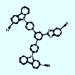 N#Cc1ccc2nc(-c3cc(-c4ccc(-n5c6ccccc6c6ccc(C#N)cc65)cc4)cc(-c4ccc(-n5c6ccccc6c6ccc(C#N)cc65)cc4)c3)sc2c1